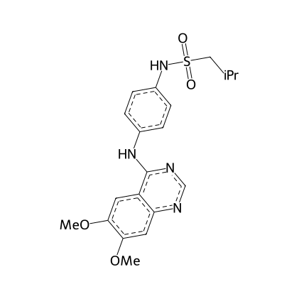 COc1cc2ncnc(Nc3ccc(NS(=O)(=O)CC(C)C)cc3)c2cc1OC